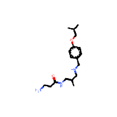 CC(C)COc1ccc(CNCC(C)CNC(=O)CCN)cc1